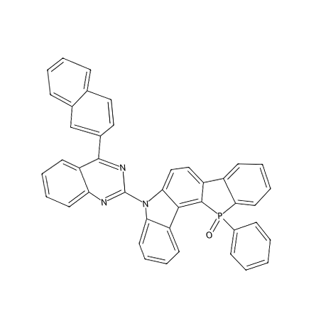 O=P1(c2ccccc2)c2ccccc2-c2ccc3c(c21)c1ccccc1n3-c1nc(-c2ccc3ccccc3c2)c2ccccc2n1